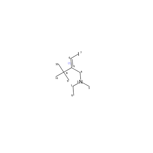 CCN(C)C/C(=C\I)C(C)(C)C